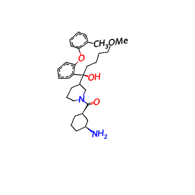 COCCCC[C@@](O)(c1ccccc1Oc1ccccc1C)C1CCCN(C(=O)[C@@H]2CCC[C@H](N)C2)C1